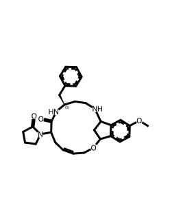 COc1ccc2c(c1)C1CC2OCC=CCC(N2CCCC2=O)C(=O)N[C@@H](Cc2ccccc2)CCN1